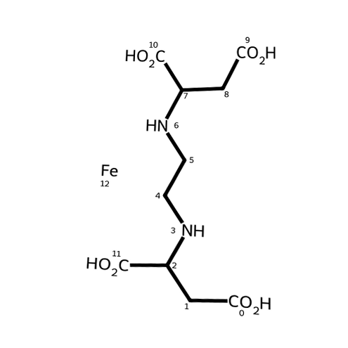 O=C(O)CC(NCCNC(CC(=O)O)C(=O)O)C(=O)O.[Fe]